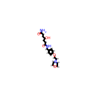 NC(=O)CC[C@@H](O)CCC(=O)NCc1ccc(OCCN2CCOCC2)cc1